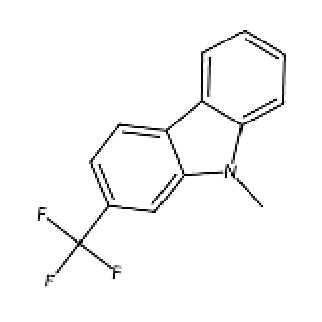 Cn1c2ccccc2c2ccc(C(F)(F)F)cc21